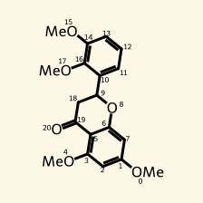 COc1cc(OC)c2c(c1)OC(c1cccc(OC)c1OC)CC2=O